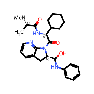 CN[C@@H](C)C(=O)N[C@H](C(=O)N1c2ncccc2C[C@@H]1C(O)Nc1ccccc1)C1CCCCC1